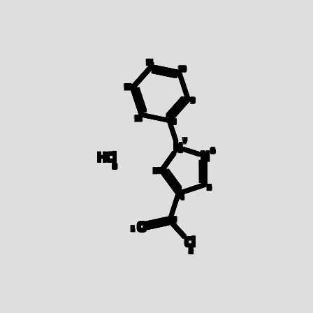 Cl.O=C(Cl)c1cnn(-c2ccccc2)c1